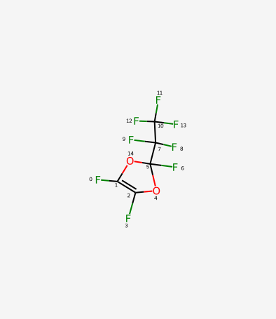 FC1=C(F)OC(F)(C(F)(F)C(F)(F)F)O1